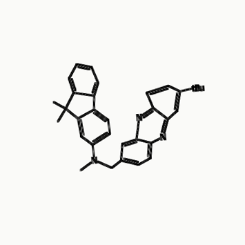 CN(Cc1ccc2nc3cc(C(C)(C)C)ccc3nc2c1)c1ccc2c(c1)C(C)(C)c1ccccc1-2